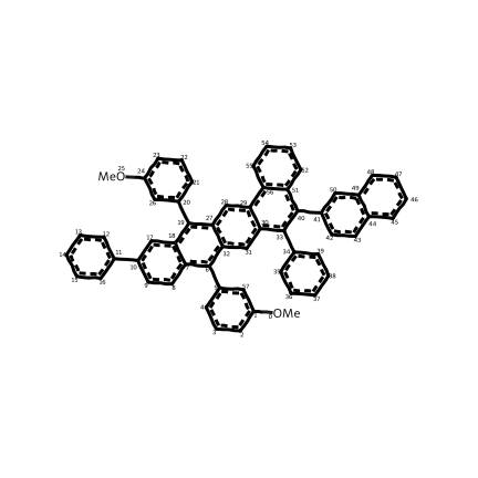 COc1cccc(-c2c3ccc(-c4ccccc4)cc3c(-c3cccc(OC)c3)c3cc4c(cc23)c(-c2ccccc2)c(-c2ccc3ccccc3c2)c2ccccc24)c1